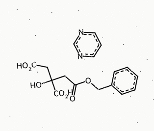 O=C(O)CC(O)(CC(=O)OCc1ccccc1)C(=O)O.c1cncnc1